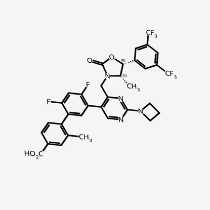 Cc1cc(C(=O)O)ccc1-c1cc(-c2cnc(N3CCC3)nc2CN2C(=O)O[C@H](c3cc(C(F)(F)F)cc(C(F)(F)F)c3)[C@@H]2C)c(F)cc1F